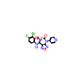 O=C(N(c1ccncc1)c1nonc1C(=NO)Nc1ccc(F)c(Br)c1)C(F)(F)F